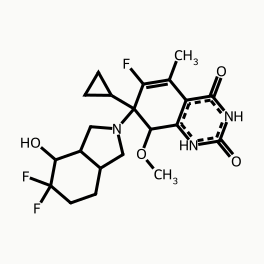 COC1c2[nH]c(=O)[nH]c(=O)c2C(C)=C(F)C1(C1CC1)N1CC2CCC(F)(F)C(O)C2C1